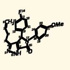 C=CCCc1n[nH]c2c1C(c1ccc(F)cc1)N(c1ccc(OC)cc1)C2=O